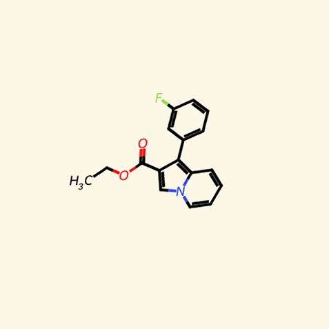 CCOC(=O)c1cn2ccccc2c1-c1cccc(F)c1